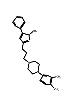 Cc1ccc(N2CCN(CCCc3cc(-c4ccccc4)n(C(C)(C)C)n3)CC2)cc1C